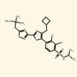 C[C@H](NS(=O)(=O)c1ccc(-c2sc(-c3noc(CC(C)(C)C(=O)O)n3)nc2CC2CCC2)c(Cl)c1Cl)C(F)(F)F